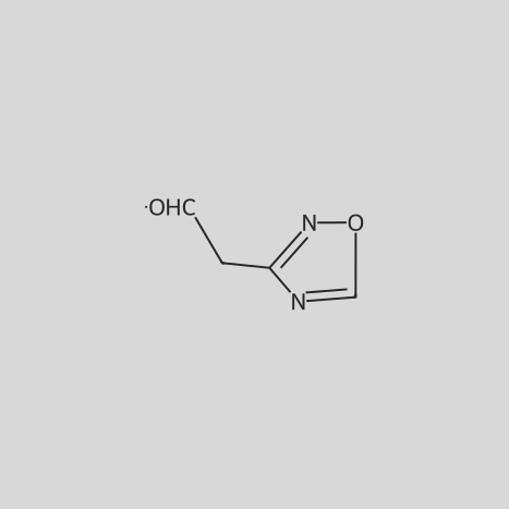 O=[C]Cc1ncon1